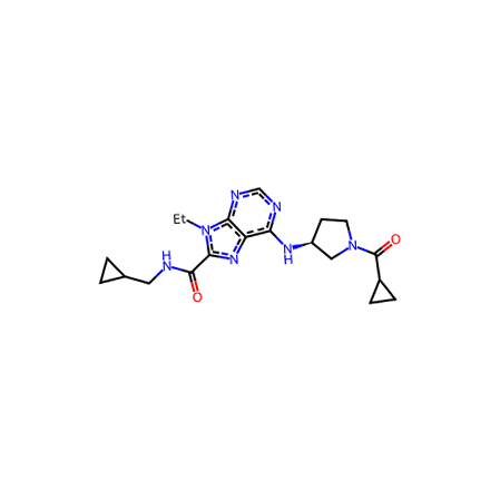 CCn1c(C(=O)NCC2CC2)nc2c(N[C@H]3CCN(C(=O)C4CC4)C3)ncnc21